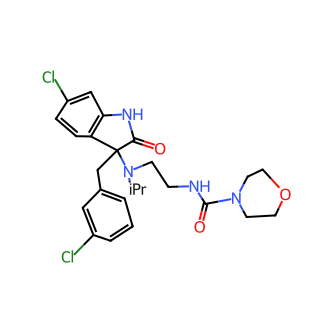 CC(C)N(CCNC(=O)N1CCOCC1)C1(Cc2cccc(Cl)c2)C(=O)Nc2cc(Cl)ccc21